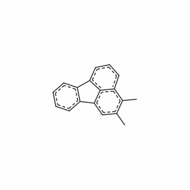 Cc1[c]c2c3c(cccc3c1C)-c1ccccc1-2